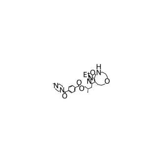 CCn1nc(C[C@@H](C)COC(=O)c2ccc(C(=O)N3CCN(C)CC3)cc2)c2c1C(=O)NCCCOCCC2